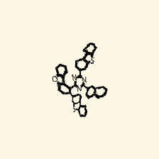 C1=C(c2ccc3oc4ccccc4c3c2-c2nc(-c3ccc4ccccc4c3)nc(-c3ccc4c(c3)sc3ccccc34)n2)CC2Sc3ccccc3C2=C1